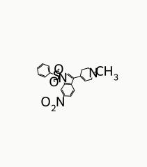 CN1CC=C(c2cn(S(=O)(=O)c3ccccc3)c3cc([N+](=O)[O-])ccc23)CC1